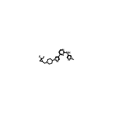 Cn1cc(Nc2nccc(-c3cnn(C4CCN(CC5CC5(F)F)CC4)c3)n2)cn1